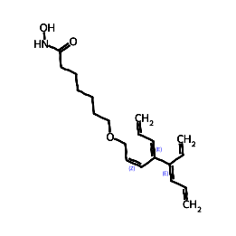 C=C/C=C(C=C)/C(/C=C\COCCCCCCC(=O)NO)=C/C=C